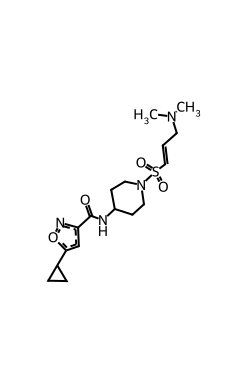 CN(C)CC=CS(=O)(=O)N1CCC(NC(=O)c2cc(C3CC3)on2)CC1